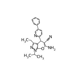 CCc1nn(C(C)C)c2c1C(c1ccc(-c3ccccc3)cn1)C(C#N)=C(N)O2